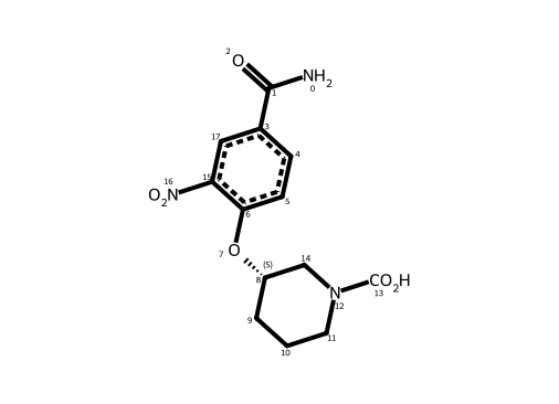 NC(=O)c1ccc(O[C@H]2CCCN(C(=O)O)C2)c([N+](=O)[O-])c1